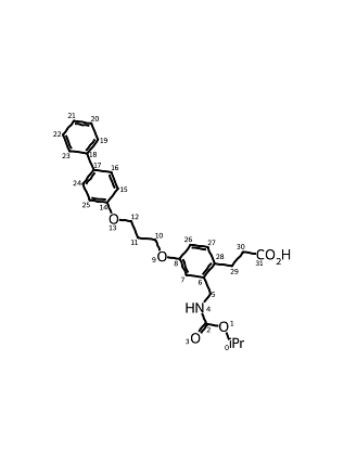 CC(C)OC(=O)NCc1cc(OCCCOc2ccc(-c3ccccc3)cc2)ccc1CCC(=O)O